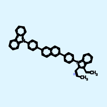 C=Cc1c(/C=C\C)n(-c2ccc(-c3ccc4cc(-c5ccc(-n6c7ccccc7c7ccccc76)cc5)ccc4c3)cc2)c2ccccc12